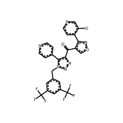 O=C(c1conc1-c1ccncc1Cl)c1nnn(Cc2cc(C(F)(F)F)cc(C(F)(F)F)c2)c1-c1ccncc1